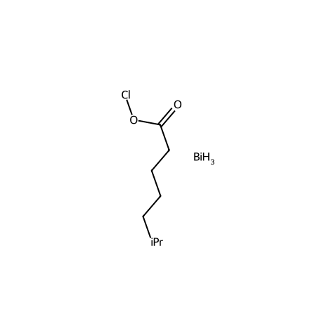 CC(C)CCCCC(=O)OCl.[BiH3]